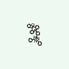 c1ccc(-c2nc(-c3ccccc3)nc(-c3cccc(N4c5ccccc5-c5oc6ccccc6c5-c5ccccc54)c3)n2)cc1